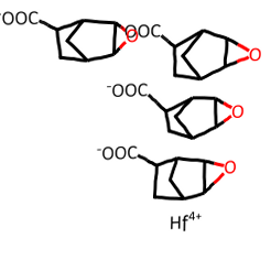 O=C([O-])C1CC2CC1C1OC21.O=C([O-])C1CC2CC1C1OC21.O=C([O-])C1CC2CC1C1OC21.O=C([O-])C1CC2CC1C1OC21.[Hf+4]